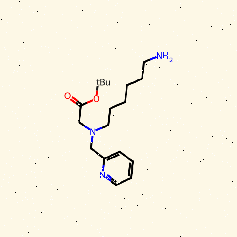 CC(C)(C)OC(=O)CN(CCCCCCN)Cc1ccccn1